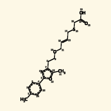 Cc1ccc(-c2nc(CCOCC=CCSCC(=O)O)c(C)o2)cc1